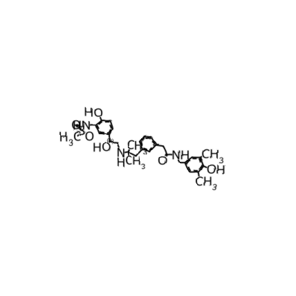 Cc1cc(CNC(=O)Cc2cccc(CC(C)(C)NC[C@H](O)c3ccc(O)c(NS(C)(=O)=O)c3)c2)cc(C)c1O